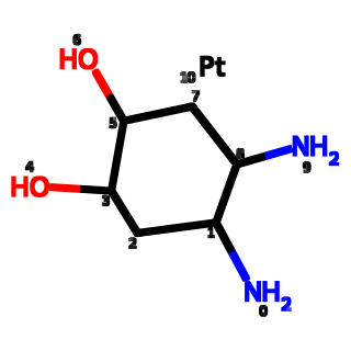 NC1CC(O)C(O)CC1N.[Pt]